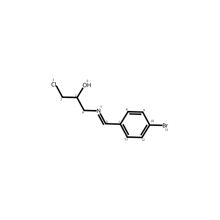 OC(CCl)CN=Cc1ccc(Br)cc1